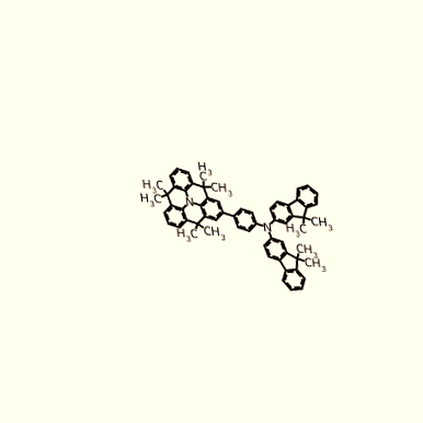 CC1(C)c2ccccc2-c2ccc(N(c3ccc(-c4cc5c6c(c4)C(C)(C)c4cccc7c4N6c4c(cccc4C5(C)C)C7(C)C)cc3)c3ccc4c(c3)C(C)(C)c3ccccc3-4)cc21